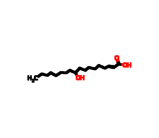 CCCCCCCCC(O)CCCCCCC=CC(=O)O